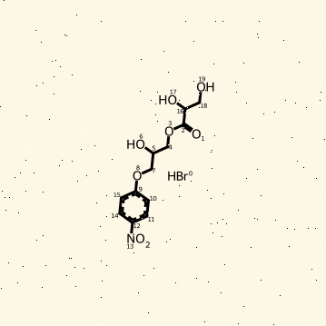 Br.O=C(OCC(O)COc1ccc([N+](=O)[O-])cc1)C(O)CO